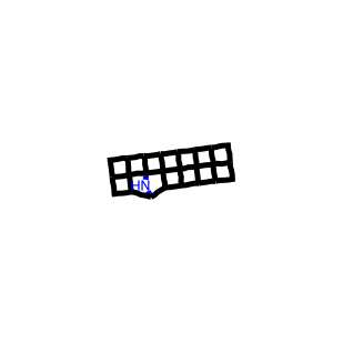 C1C2CC3C4C5C6C7C8CC9CC%10C%11C%12C%13C%14NC4(C23C1%14)C%135C%126C%117C9%108